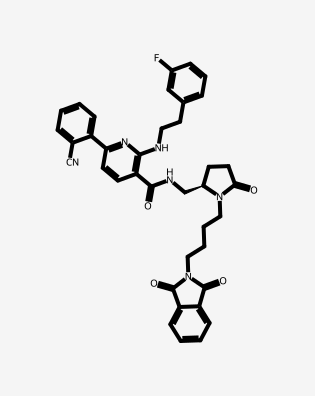 N#Cc1ccccc1-c1ccc(C(=O)NC[C@H]2CCC(=O)N2CCCCN2C(=O)c3ccccc3C2=O)c(NCCc2cccc(F)c2)n1